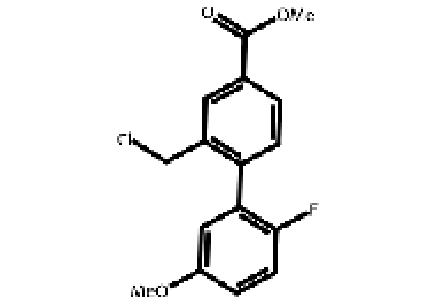 COC(=O)c1ccc(-c2cc(OC)ccc2F)c(CCl)c1